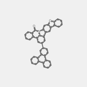 O=c1c2ccccc2c2cc(-c3ccc4c5ccccc5c5ccccc5c4c3)cc3c4cc5c(cc4n1c23)oc1ccccc15